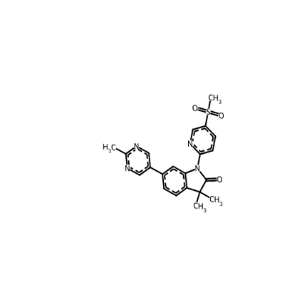 Cc1ncc(-c2ccc3c(c2)N(c2ccc(S(C)(=O)=O)cn2)C(=O)C3(C)C)cn1